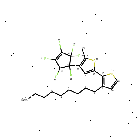 CCCCCCCCCCCCCCCCCCc1ccsc1-c1cc(C2(F)C(F)C(F)=C(F)C2(F)F)c(C)s1